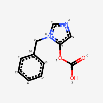 O=C(O)Oc1cncn1Cc1ccccc1